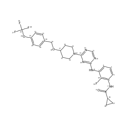 O=C(Nc1cccc(Nc2ncnc(N3CCC(OCc4ccc(OC(F)(F)F)cc4)CC3)n2)c1F)C1CC1